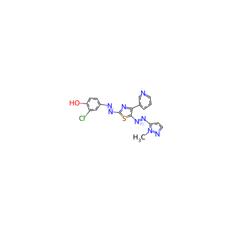 Cn1nccc1/N=N/c1sc(/N=N/c2ccc(O)c(Cl)c2)nc1-c1cccnc1